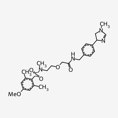 COc1cc(C)c(S(=O)(=O)N(C)CCOCC(=O)NCc2ccc(C3CN(C)C=N3)cc2)c(C)c1